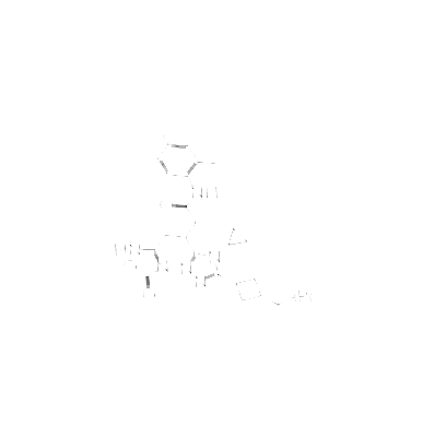 Cc1ccc(NC(=O)CC(Cc2nc(=O)o[nH]2)c2nnc([C@H]3C[C@@H](CC(C)C)C3)n2C2CC2)c(C)c1